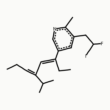 CC/C=C(\C=C(/CC)c1cnc(C)c(CC(F)I)c1)C(C)C